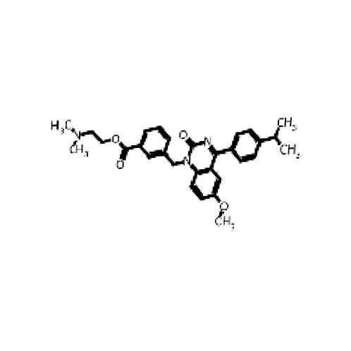 COc1ccc2c(c1)c(-c1ccc(C(C)C)cc1)nc(=O)n2Cc1cccc(C(=O)OCCN(C)C)c1